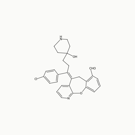 O=Cc1cccc2c1CC(=C(CCC1(O)CCNCC1)c1ccc(Cl)cc1)c1cccnc1O2